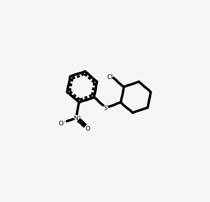 O=[N+]([O-])c1ccccc1SC1CCCCC1Cl